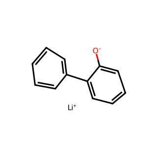 [Li+].[O-]c1ccccc1-c1ccccc1